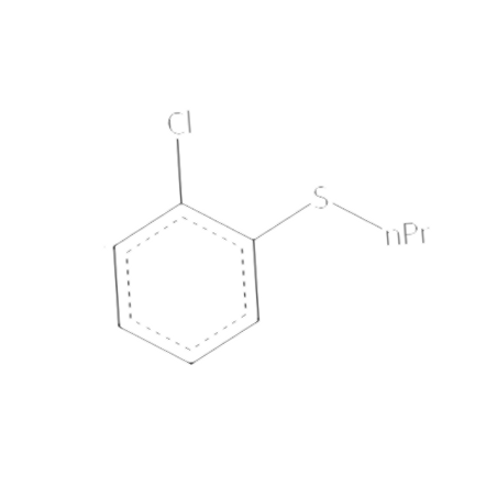 CCCSc1ccc[c]c1Cl